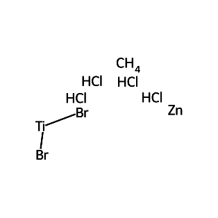 C.Cl.Cl.Cl.Cl.[Br][Ti][Br].[Zn]